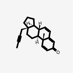 CC#CC[C@@]12CCC[C@H]1[C@@H]1C=CC3=CC(=O)C=C[C@]3(C)[C@H]1CC2